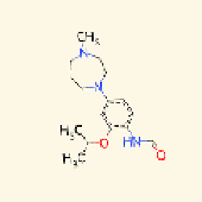 CC(C)Oc1cc(N2CCCN(C)CC2)ccc1NC=O